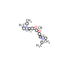 Cc1ccc(N(c2ccc3cc4c(cc3c2)oc2c(C#N)c3oc5cc6cc(N(c7ccc(C)cc7)c7c(C)cccc7C)ccc6cc5c3cc24)c2c(C)cccc2C)cc1